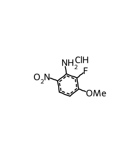 COc1ccc([N+](=O)[O-])c(N)c1F.Cl